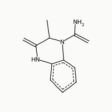 C=C1Nc2ccccc2N(C(=C)N)C1C